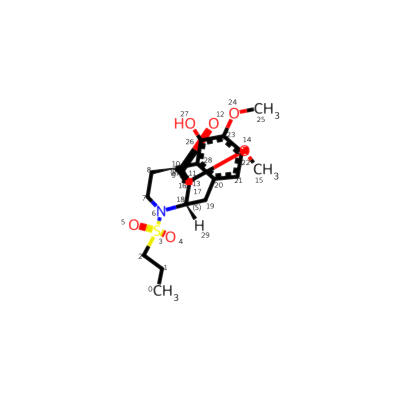 CCCS(=O)(=O)N1CC[C@@]23CC(=O)C(OC)=CC2[C@@H]1Cc1ccc(OC)c(O)c13